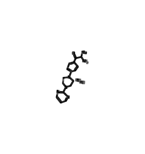 CC(C)(C)C(N)C(=O)c1ccc(N2CCN(c3ncccn3)CC2)cc1.Cl.Cl